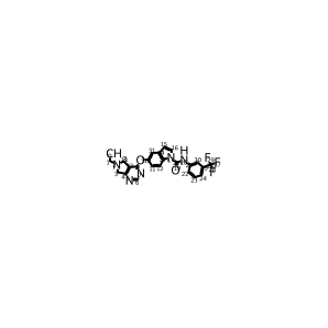 CCN1Cc2ncnc(Oc3ccc4c(ccn4C(=O)Nc4cccc(C(F)(F)F)c4)c3)c2C1